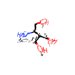 O=S(=O)(O)NC(CO)C(CO)CO